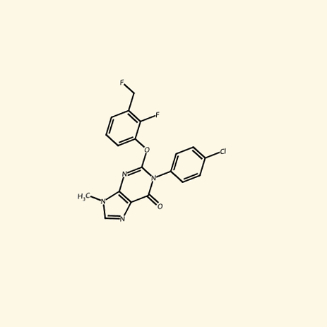 Cn1cnc2c(=O)n(-c3ccc(Cl)cc3)c(Oc3cccc(CF)c3F)nc21